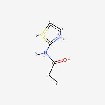 CCC(=O)N(C)c1n[c]cs1